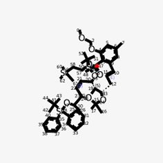 COCOc1cc(C)cc(/C=C/C[C@@H]2OC(C)(C)O[C@@H]2C(/C=C\[C@@H](C)C(C)O[Si](c2ccccc2)(c2ccccc2)C(C)(C)C)O[Si](C)(C)C(C)(C)C)c1C(=O)OCC[Si](C)(C)C